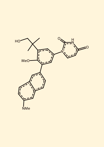 CNc1ccc2cc(-c3cc(-n4ccc(=O)[nH]c4=O)cc(C(C)(C)CO)c3OC)ccc2c1